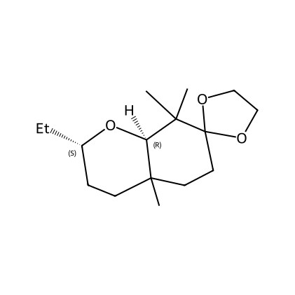 CC[C@H]1CCC2(C)CCC3(OCCO3)C(C)(C)[C@@H]2O1